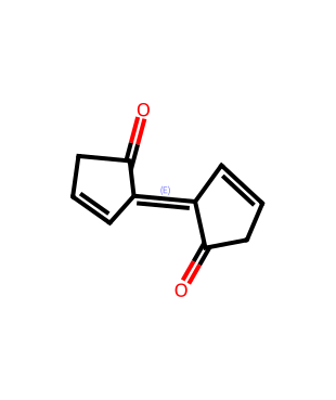 O=C1CC=C/C1=C1/C=CCC1=O